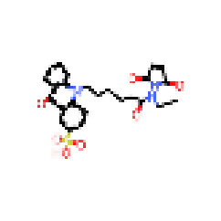 CCN(C(=O)CCCCCn1c2ccccc2c(=O)c2cc(S(=O)(=O)O)ccc21)N1C(=O)C=CC1=O